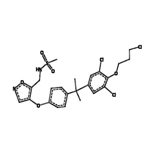 CC(C)(c1ccc(Oc2cnoc2CNS(C)(=O)=O)cc1)c1cc(Cl)c(OCCCCl)c(Cl)c1